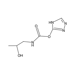 CC(O)CNC(=O)Oc1nnc[nH]1